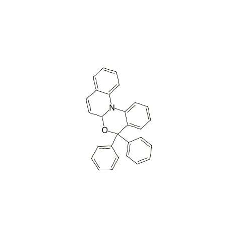 C1=CC2OC(c3ccccc3)(c3ccccc3)c3ccccc3N2c2ccccc21